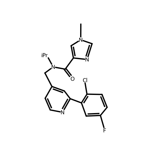 CC(C)N(Cc1ccnc(-c2cc(F)ccc2Cl)c1)C(=O)c1cn(C)cn1